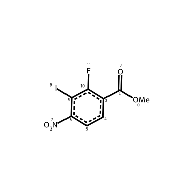 COC(=O)c1ccc([N+](=O)[O-])c(I)c1F